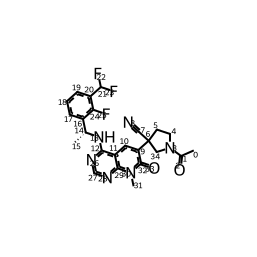 CC(=O)N1CCC(C#N)(c2cc3c(N[C@H](C)c4cccc(C(F)F)c4F)ncnc3n(C)c2=O)C1